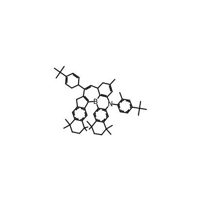 CC1=CC2=C3B(C4=C(Cc5cc6c(cc54)C(C)(C)CCC6(C)C)C(C4C=CC(C(C)(C)C)=CC4)=CC3C1)c1cc3c(cc1N2c1ccc(C(C)(C)C)cc1C)C(C)(C)CCC3(C)C